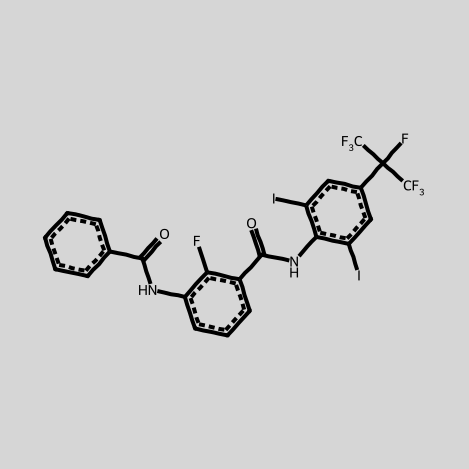 O=C(Nc1cccc(C(=O)Nc2c(I)cc(C(F)(C(F)(F)F)C(F)(F)F)cc2I)c1F)c1ccccc1